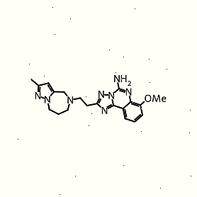 COc1cccc2c1nc(N)n1nc(CCN3CCCn4nc(C)cc4C3)nc21